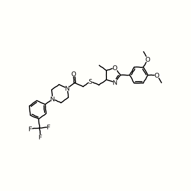 COc1ccc(C2=NC(CSCC(=O)N3CCN(c4cccc(C(F)(F)F)c4)CC3)C(C)O2)cc1OC